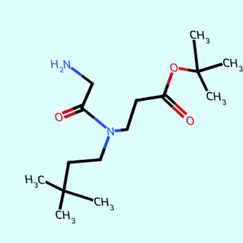 CC(C)(C)CCN(CCC(=O)OC(C)(C)C)C(=O)CN